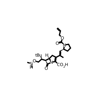 C=CCOC(=O)N1CCC[C@H]1C=C(C)C1=C(C(=O)O)N2C(=O)[C@@H]([C@@H](CO[SiH](C)C)C(C)(C)C)[C@H]2C1